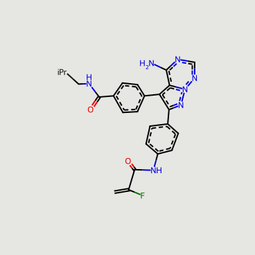 C=C(F)C(=O)Nc1ccc(-c2nn3ncnc(N)c3c2-c2ccc(C(=O)NCC(C)C)cc2)cc1